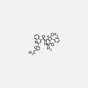 Cc1ccc(-c2cc(C(=O)Nc3sc(C)c(-c4ccccc4)c3C(N)=O)c3ccccc3n2)o1